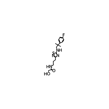 CC(C)(CNc1nc(CCCNC(=O)CO)ns1)c1ccc(F)cc1